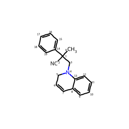 CC(C#N)(CN1CC=Cc2ccccc21)c1ccccc1